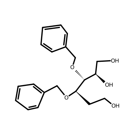 OCC[C@@H](OCc1ccccc1)[C@H](OCc1ccccc1)[C@H](O)CO